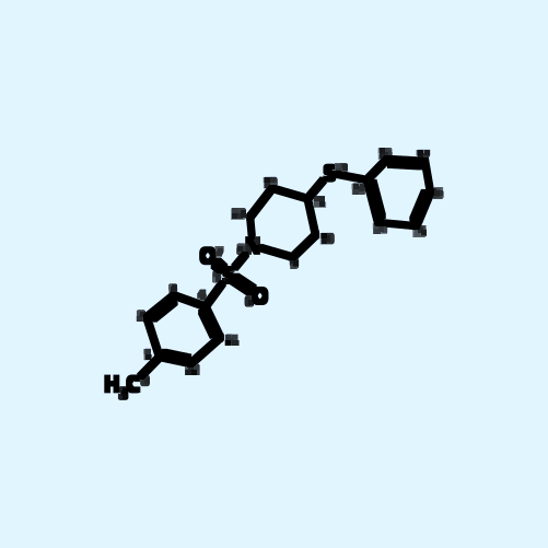 Cc1ccc(S(=O)(=O)N2CCC(Sc3ccccc3)CC2)cc1